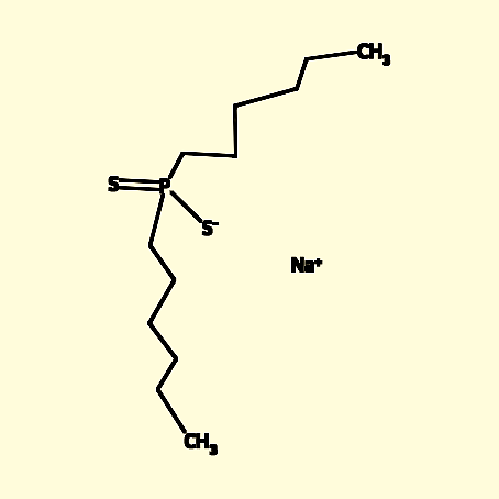 CCCCCCP(=S)([S-])CCCCCC.[Na+]